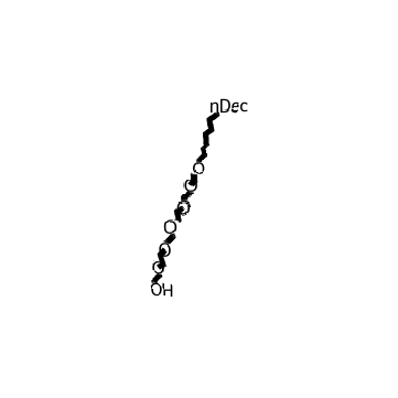 CCCCCCCCCCCCCCCCCCOCCOCCOCCOCCOCCOCCO